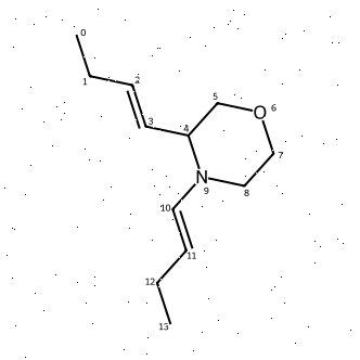 CCC=CC1COCCN1C=CCC